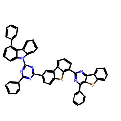 c1ccc(-c2nc(-c3ccc4sc5c(-c6nc(-c7ccccc7)c7sc8ccccc8c7n6)cccc5c4c3)nc(-n3c4ccccc4c4c(-c5ccccc5)cccc43)n2)cc1